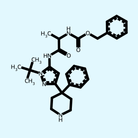 CC(NC(=O)OCc1ccccc1)C(=O)Nc1cc(C2(c3ccccc3)CCNCC2)nn1C(C)(C)C